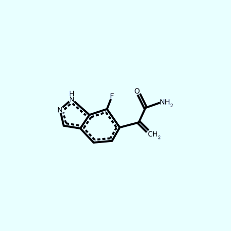 C=C(C(N)=O)c1ccc2cn[nH]c2c1F